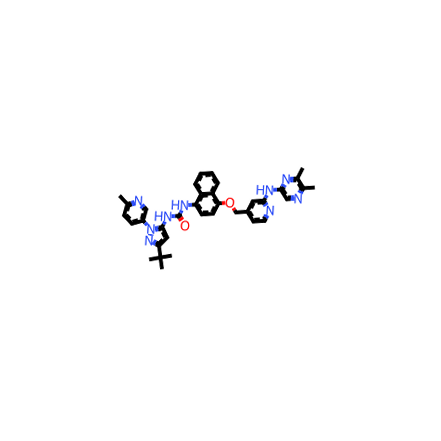 Cc1ccc(-n2nc(C(C)(C)C)cc2NC(=O)Nc2ccc(OCc3ccnc(Nc4cnc(C)c(C)n4)c3)c3ccccc23)cn1